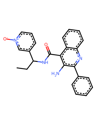 CCC(NC(=O)c1c(N)c(-c2ccccc2)nc2ccccc12)c1ccc[n+]([O-])c1